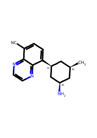 C[C@H]1C[C@@H](N)C[C@@H](c2ccc(C#N)c3nccnc23)C1